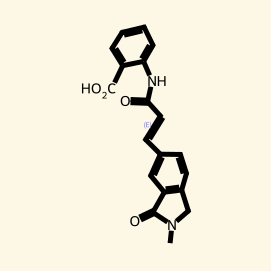 CN1Cc2ccc(/C=C/C(=O)Nc3ccccc3C(=O)O)cc2C1=O